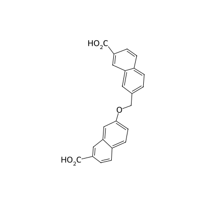 O=C(O)c1ccc2ccc(COc3ccc4ccc(C(=O)O)cc4c3)cc2c1